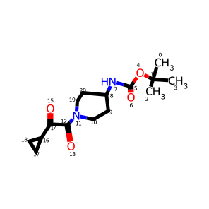 CC(C)(C)OC(=O)NC1CCN(C(=O)C(=O)C2CC2)CC1